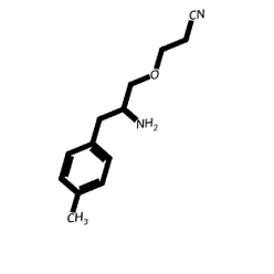 Cc1ccc(CC(N)COCCC#N)cc1